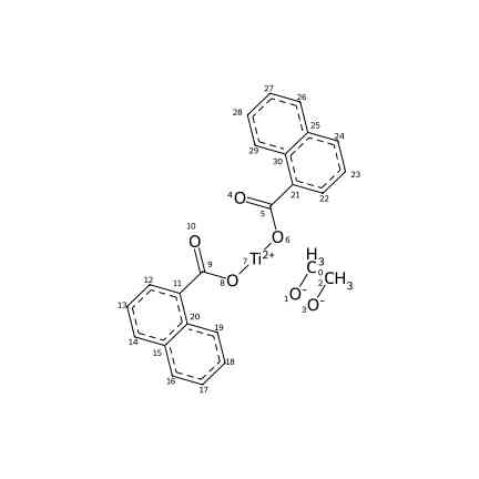 C[O-].C[O-].O=C([O][Ti+2][O]C(=O)c1cccc2ccccc12)c1cccc2ccccc12